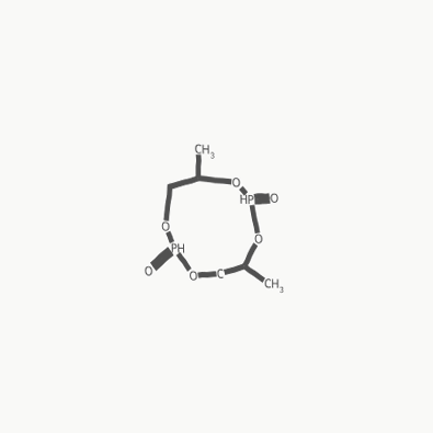 CC1CO[PH](=O)OCC(C)O[PH](=O)O1